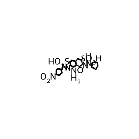 Nc1c(/N=N/c2ccc([N+](=O)[O-])cc2)c(S(=O)(=O)O)cc2c1C(=O)/C(=N/Nc1ccccc1)C(S(=O)(=O)O)=C2